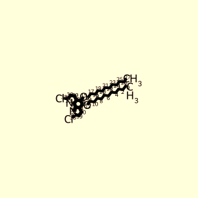 CCCCCCCCCCCCOc1c(OCCCCCCCCCCCC)c2ccc(Cl)nc2c2nc(Cl)ccc12